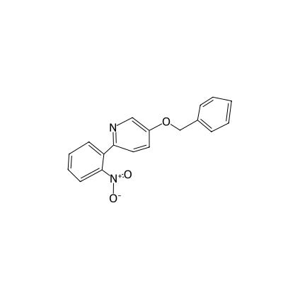 O=[N+]([O-])c1ccccc1-c1ccc(OCc2ccccc2)cn1